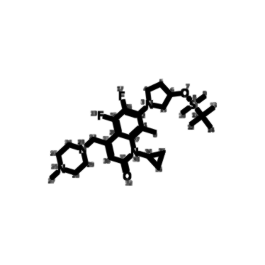 Cc1c(N2CCC(O[Si](C)(C)C(C)(C)C)C2)c(F)c(F)c2c(CN3CCN(C)CC3)cc(=O)n(C3CC3)c12